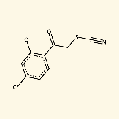 N#CSCC(=O)c1ccc(Cl)cc1Cl